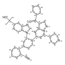 CC(C)(O)c1ccc2c(c1)ncn2-c1cc(-c2ccccc2C#N)ccc1-c1cc(-c2ccncc2)n2ncc(C(=O)c3ccccc3)c2n1